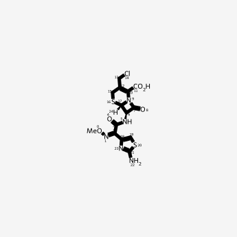 CO/N=C(\C(=O)N[C@@H]1C(=O)N2C(C(=O)O)=C(CCl)CS[C@@H]12)c1csc(N)n1